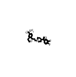 NC(=O)c1ccc2c(c1)CCOC2CCN1C=CC(c2coc3c(F)c(F)ccc23)CC1